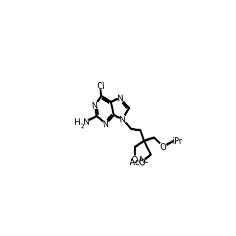 CC(=O)OCC(CCn1cnc2c(Cl)nc(N)nc21)(COC(C)=O)COC(C)C